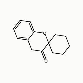 O=C1Cc2ccccc2OC12CCCCC2